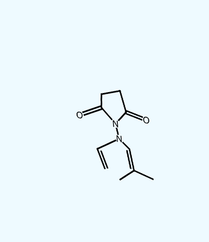 C=CN(C=C(C)C)N1C(=O)CCC1=O